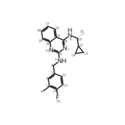 Cc1cc(CNc2nc(N[C@H](C)C3CC3)c3ccccc3n2)ccc1F